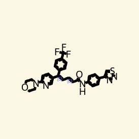 O=C(/C=C/C=C(\c1ccc(C(F)(F)F)cc1)c1ccc(N2CCOCC2)nc1)Nc1ccc(-c2csnn2)cc1